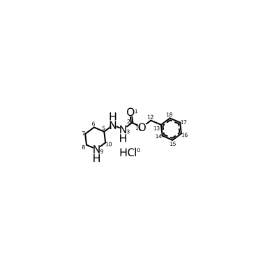 Cl.O=C(NNC1CCCNC1)OCc1ccccc1